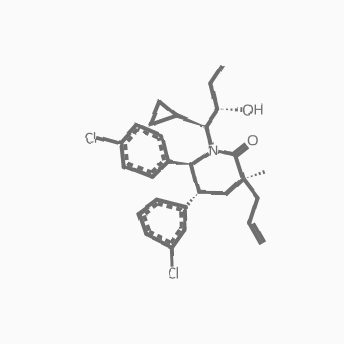 C=CC[C@@]1(C)C[C@H](c2cccc(Cl)c2)[C@@H](c2ccc(Cl)cc2)N([C@@H](C2CC2)[C@@H](O)CC)C1=O